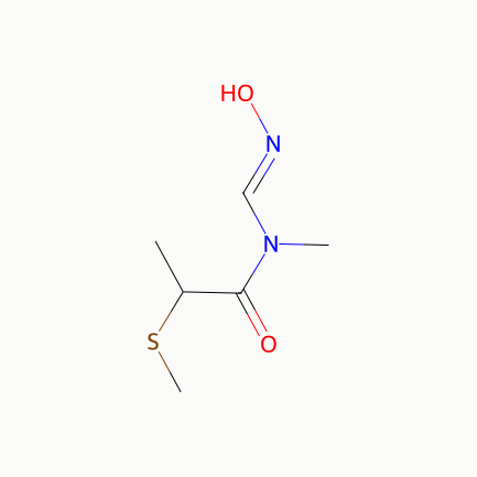 CSC(C)C(=O)N(C)C=NO